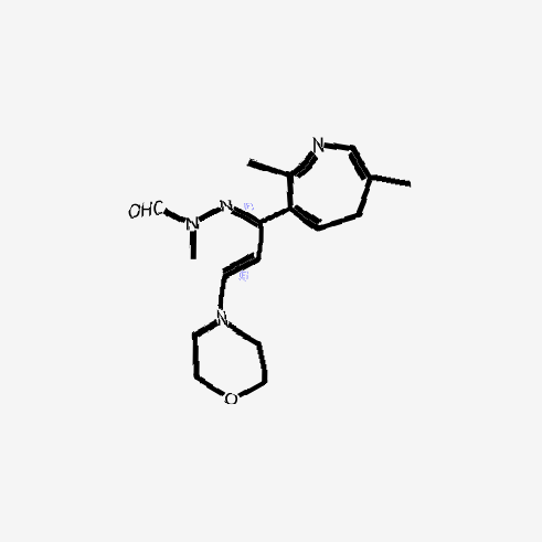 CC1=CN=C(C)C(C(/C=C/N2CCOCC2)=N/N(C)C=O)=CC1